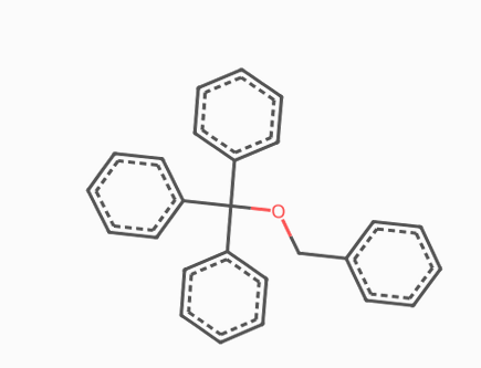 c1ccc(COC(c2ccccc2)(c2ccccc2)c2ccccc2)cc1